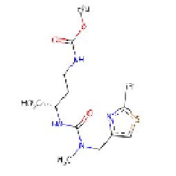 CC(C)c1nc(CN(C)C(=O)N[C@@H](CCNC(=O)OC(C)(C)C)C(=O)O)cs1